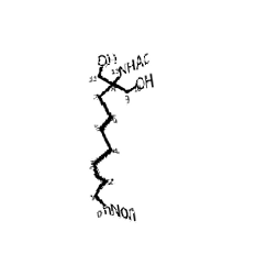 CCCCCCCCCCCCCCCCC(CO)(CO)NC(C)=O